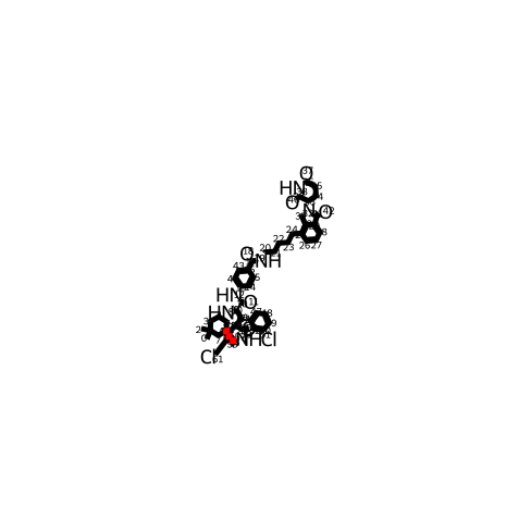 CC1(C)CCC2(CC1)N[C@@H](C(=O)Nc1ccc(C(=O)NCCCCCc3cccc4c3CN(C3CCC(=O)NC3=O)C4=O)cc1)[C@H](c1cccc(Cl)c1F)[C@]21C(=O)Nc2cc(Cl)ccc21